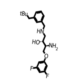 CC(C)(C)Cc1cccc(CNC[C@@H](O)[C@@H](N)COc2cc(F)cc(F)c2)c1